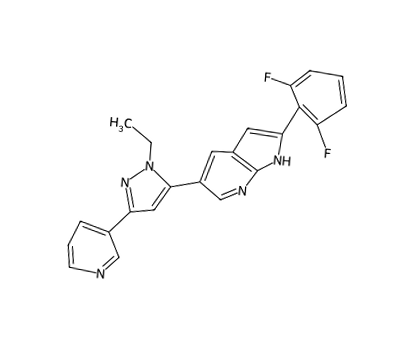 CCn1nc(-c2cccnc2)cc1-c1cnc2[nH]c(-c3c(F)cccc3F)cc2c1